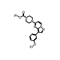 CCOc1cccc(-c2cnn3ccc(N4CCN(C(=O)OC(C)C)CC4)nc23)c1